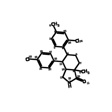 Cc1ccc(C2CCC3(C)C(=O)NCC3C2c2ccc(Cl)cc2)c(Cl)c1